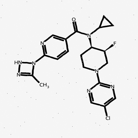 Cc1n[nH]n1-c1ccc(C(=O)N(C2CC2)[C@@H]2CCN(c3ncc(Cl)cn3)C[C@@H]2F)cn1